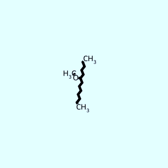 CCCCCCCC(CCCCC)OC